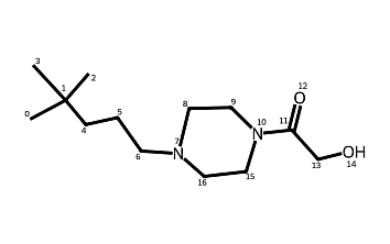 CC(C)(C)CCCN1CCN(C(=O)CO)CC1